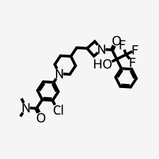 CN(C)C(=O)c1ccc(N2CCC(CC3CN(C(=O)C(O)(c4ccccc4)C(F)(F)F)C3)CC2)cc1Cl